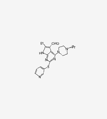 CCc1[nH]c2nc(Sc3cccnc3)nc(N3CCN(C(C)C)CC3)c2c1C=O